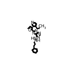 CCC(c1ccncc1)n1c(-c2ccco2)nc2c(NNCCCc3ccccc3)ncnc21